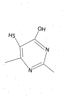 Cc1nc(C)c(S)c(O)n1